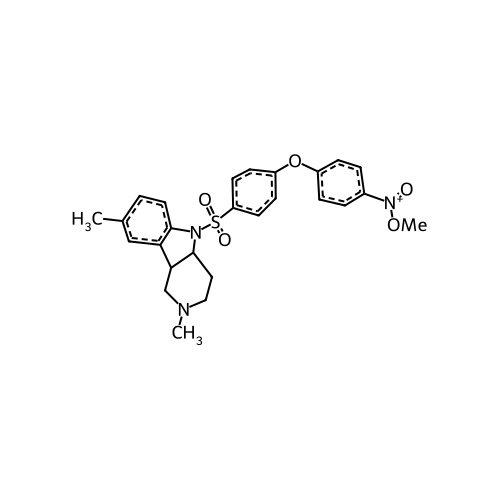 CO[N+](=O)c1ccc(Oc2ccc(S(=O)(=O)N3c4ccc(C)cc4C4CN(C)CCC43)cc2)cc1